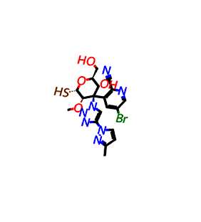 CO[C@@H]1[C@H](S)O[C@@H](CO)[C@@H](O)[C@@]1(c1cc(Br)cnc1C#N)n1cc(-n2ccc(C)n2)nn1